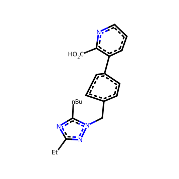 CCCCc1nc(CC)nn1Cc1ccc(-c2cccnc2C(=O)O)cc1